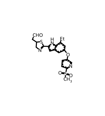 CCc1cc(Oc2ccc(S(C)(=O)=O)nc2)cc2cc(C3=NCC(CC=O)S3)[nH]c12